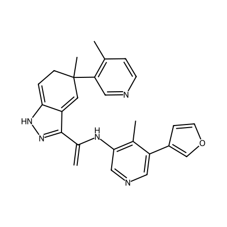 C=C(Nc1cncc(-c2ccoc2)c1C)c1n[nH]c2c1=CC(C)(c1cnccc1C)CC=2